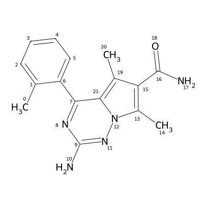 Cc1ccccc1-c1nc(N)nn2c(C)c(C(N)=O)c(C)c12